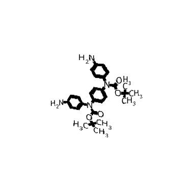 CC(C)(C)OC(=O)N(c1ccc(N)cc1)c1ccc(N(C(=O)OC(C)(C)C)c2ccc(N)cc2)cc1